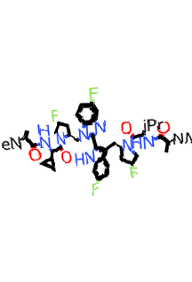 CN[C@@H](C)C(=O)NC(C(=O)N1C[C@@H](F)C[C@H]1Cc1c(-c2nc3cc(F)ccc3n2C[C@@H]2C[C@H](F)CN2C(=O)C(NC(=O)[C@H](C)NC)C2CC2)[nH]c2cc(F)ccc12)C(C)C